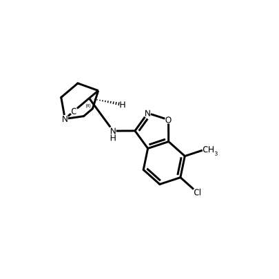 Cc1c(Cl)ccc2c(N[C@H]3CN4CCC3CC4)noc12